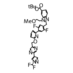 COCCn1c(Cc2cc(F)c(-c3cccc(OCc4cnc(-c5cnn(C(F)F)c5)cn4)n3)cc2F)nc2ccc(C(=O)OC(C)(C)C)cc21